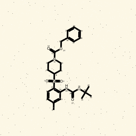 Cc1ccc(S(=O)(=O)C2CCN(C(=O)OCc3ccccc3)CC2)c(NC(=O)OC(C)(C)C)c1